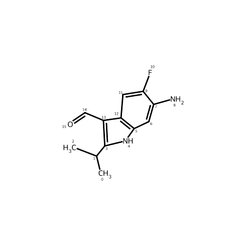 CC(C)c1[nH]c2cc(N)c(F)cc2c1C=O